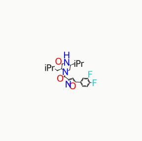 CC(C)C[C@H]1C(=O)N[C@@H](C(C)C)CN1C(=O)c1cc(-c2ccc(F)c(F)c2)on1